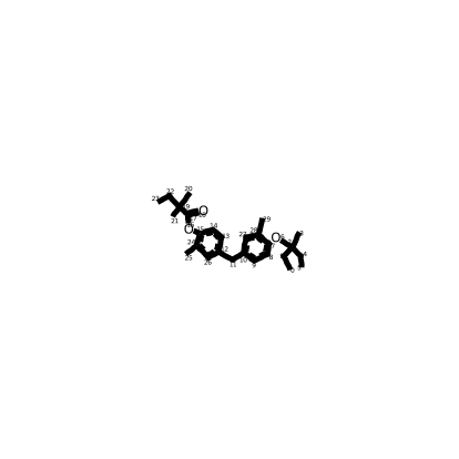 CCC(C)(CC)Oc1ccc(Cc2ccc(OC(=O)C(C)(C)CC)c(C)c2)cc1C